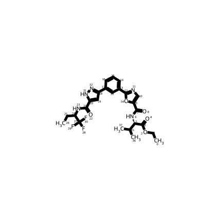 CCOC(=O)[C@@H](NC(=O)c1cnc(-c2cccc(-c3cc(C(=O)NC(CC)C(F)(F)F)[nH]n3)c2)o1)C(C)C